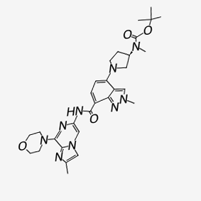 Cc1cn2cc(NC(=O)c3ccc(N4CC[C@@H](N(C)C(=O)OC(C)(C)C)C4)c4cn(C)nc34)nc(N3CCOCC3)c2n1